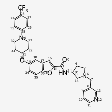 O=C(N[C@@H]1CCN(Cc2cccnc2)C1)c1cc2cc(OC3CCN(c4ccc(C(F)(F)F)cc4)CC3)ccc2o1